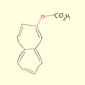 O=C(O)Oc1ccc2ccccc2c1